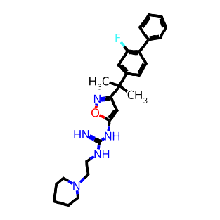 CC(C)(c1ccc(-c2ccccc2)c(F)c1)c1cc(NC(=N)NCCN2CCCCC2)on1